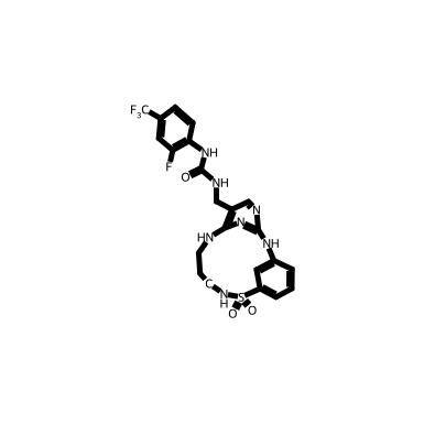 O=C(NCc1cnc2nc1NCCCNS(=O)(=O)c1cccc(c1)N2)Nc1ccc(C(F)(F)F)cc1F